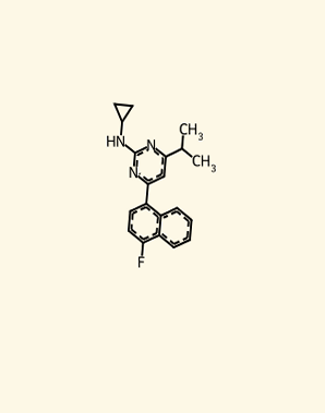 CC(C)c1cc(-c2ccc(F)c3ccccc23)nc(NC2CC2)n1